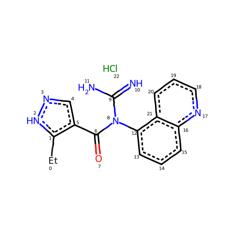 CCc1[nH]ncc1C(=O)N(C(=N)N)c1cccc2ncccc12.Cl